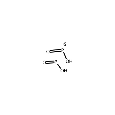 O=PO.O=PO.[S]